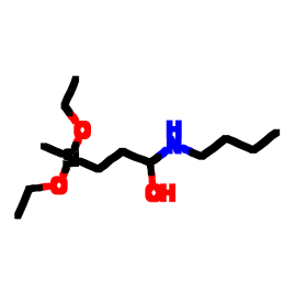 CCCCNC(O)CC[Si](C)(OCC)OCC